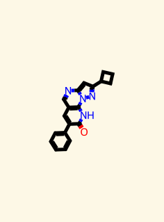 O=c1[nH]c2c(cnc3cc(C4CCC4)nn32)cc1-c1ccccc1